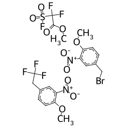 COC(=O)C(F)(F)S(=O)(=O)F.COc1ccc(CBr)cc1[N+](=O)[O-].COc1ccc(CC(F)(F)F)cc1[N+](=O)[O-]